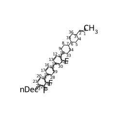 C/C=C/C1CCC(C2CCC(c3ccc(-c4ccc(-c5ccc(CCCCCCCCCC)c(F)c5F)cc4)cc3F)CC2)CC1